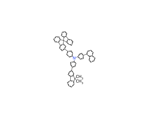 CC1(C)c2ccccc2-c2ccc(-c3ccc(N(c4ccc(-c5ccc6c(c5)C5(c7ccccc7-c7ccccc75)c5ccccc5-6)cc4)c4ccc(-c5cccc6ccccc56)cc4)cc3)cc21